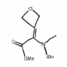 CCC(C)N(C)C(C(=O)OC)=C1COC1